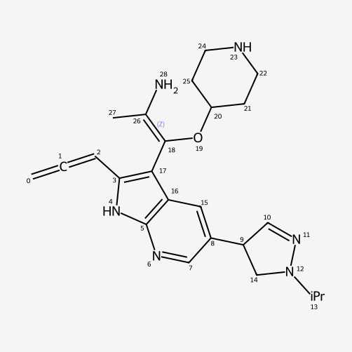 C=C=Cc1[nH]c2ncc(C3C=NN(C(C)C)C3)cc2c1/C(OC1CCNCC1)=C(\C)N